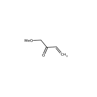 C=CC(=O)COC